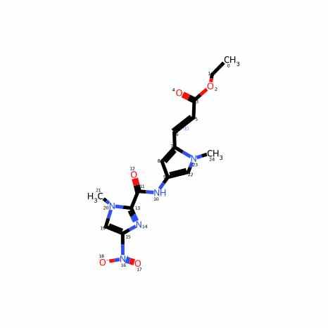 CCOC(=O)/C=C/c1cc(NC(=O)c2nc([N+](=O)[O-])cn2C)cn1C